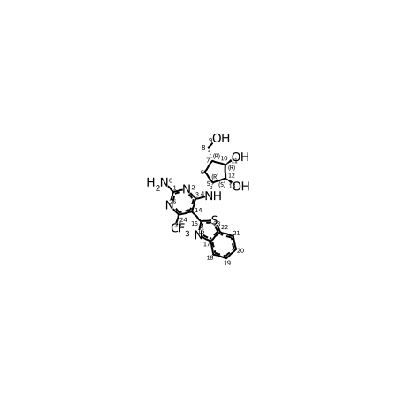 Nc1nc(N[C@@H]2C[C@H](CO)[C@@H](O)[C@H]2O)c(-c2nc3ccccc3s2)c(C(F)(F)F)n1